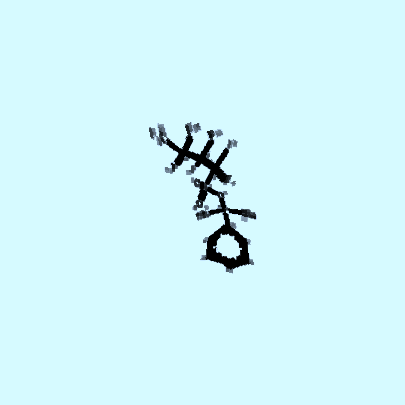 CC(C)(C)[I+](OS(=O)(=O)C(F)(F)C(F)(F)C(F)(F)C(F)(F)F)(c1ccccc1)C(C)(C)C